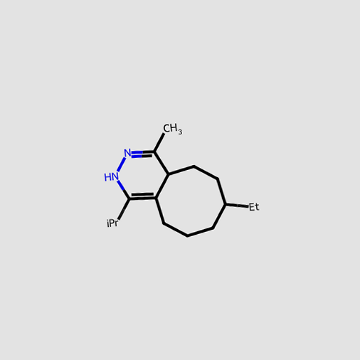 CCC1CCCC2=C(C(C)C)NN=C(C)C2CC1